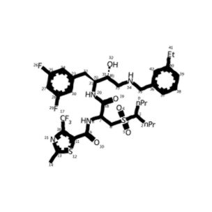 CCCC(CCC)S(=O)(=O)CC(NC(=O)c1sc(C)nc1C(F)(F)F)C(=O)N[C@@H](Cc1cc(F)cc(F)c1)[C@H](O)CNCc1cccc(CC)c1